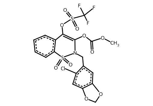 COC(=O)OC1=C(OS(=O)(=O)C(F)(F)F)c2ccccc2S(=O)(=O)N1Cc1cc2c(cc1Cl)OCO2